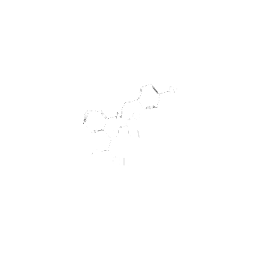 CC(C)Cc1ccccc1N(Cc1ccc(Br)cc1)S(C)(=O)=O